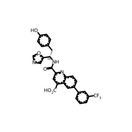 O=C(N[C@@H](Cc1ccc(O)cc1)c1cnco1)c1cc(C(=O)O)c2cc(-c3cccc(C(F)(F)F)c3)ccc2n1